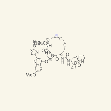 COc1ccc2c(O[C@@H]3C[C@H]4C(=O)N[C@]5(C(=O)O)CC5/C=C\CCCCC[C@H](NC(=O)N[C@H](CN5CCCN(C)S5(=O)=O)C5CCC5)C(=O)N4C3)cc(-c3csc(NC(C)C)n3)nc2c1